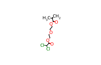 C=C(C)C(=O)OCCOCCOC(=O)C(Cl)Cl